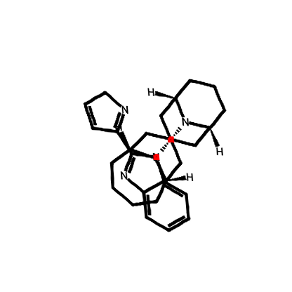 C1=CC(c2nc3ccccc3n2[C@H]2C[C@H]3CCC[C@@H](C2)N3[C@@H]2C[C@@H]3CCCC[C@@H](C3)C2)=NC1